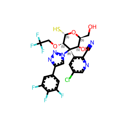 N#Cc1ncc(Cl)cc1[C@@]1(n2cc(-c3cc(F)c(F)c(F)c3)nn2)[C@H](O)[C@H](CO)O[C@@H](S)[C@H]1OCC(F)(F)F